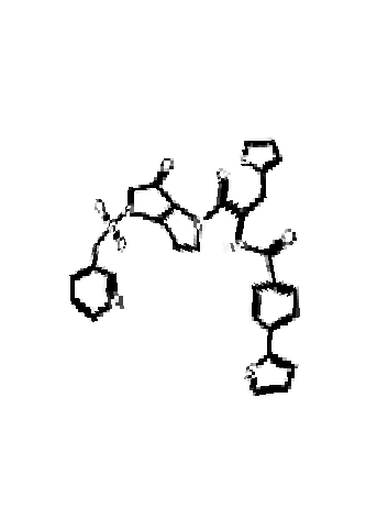 O=C(NC(Cc1cccs1)C(=O)N1CCC2C1C(=O)CN2S(=O)(=O)Cc1cccnc1)c1ccc(-c2cccs2)cc1